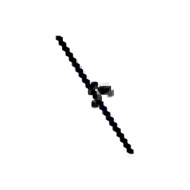 CCCCCCCCC/C=C/C=C/C=C/C=C/C=C/C(=O)OCCOC(=O)/C=C/C=C/C=C/C=C/C=C/CCCCCCCCC.N.N